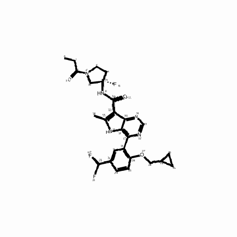 CCC(=O)N1CC[C@@](F)(NC(=O)c2c(C)[nH]c3c(-c4cc(C(F)F)ccc4OCC4CC4)ncnc23)C1